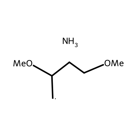 N.[CH2]C(CCOC)OC